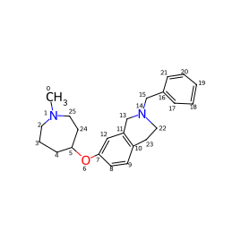 CN1CCCC(Oc2ccc3c(c2)CN(Cc2ccccc2)CC3)CC1